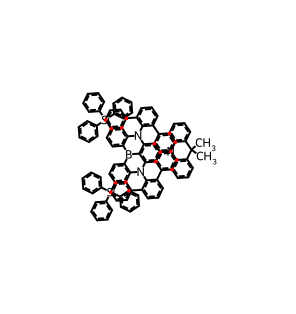 CC1(C)c2ccccc2N(c2cc3c4c(c2)N(c2c(-c5ccccc5)cccc2-c2ccccc2)c2cc([Si](c5ccccc5)(c5ccccc5)c5ccccc5)ccc2B4c2ccc([Si](c4ccccc4)(c4ccccc4)c4ccccc4)cc2N3c2c(-c3ccccc3)cccc2-c2ccccc2)c2ccccc21